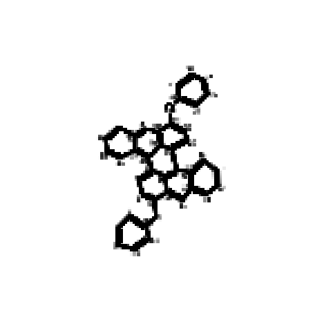 c1ccc(Cc2ccc3c4c2cc2ccccc2c4c2ccc(Oc4ccccc4)c4cc5ccccc5c3c42)cc1